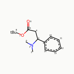 CN(C)C(CC(=O)OC(C)(C)C)c1ccccc1